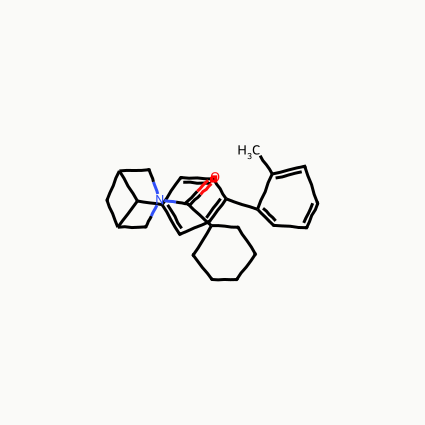 Cc1ccccc1-c1ccc(C2C3CC2CN(C(=O)C2CCCCC2)C3)cc1